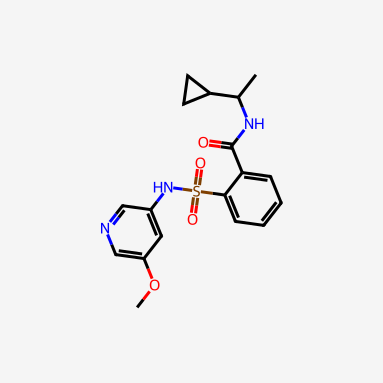 COc1cncc(NS(=O)(=O)c2ccccc2C(=O)NC(C)C2CC2)c1